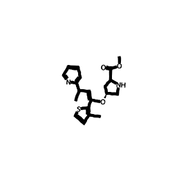 COC(=O)C1C[C@@H](O/C(=C/C(C)c2ccccn2)c2sccc2C)CN1